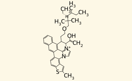 C=C(O)C1C(CCOCC(C)(C)[C@H](CC)C(C)CC)c2c3ccccc3cc3c4ccc5sc(C)cc5c4n4cc[n+]1c4c23